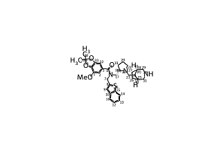 COc1cc(C(=O)N(Cc2cc3ccccc3s2)C[C@@H]2CCCN2CC2[C@@H]3CC[C@H]2CNC3)cc2c1OC(C)(C)O2